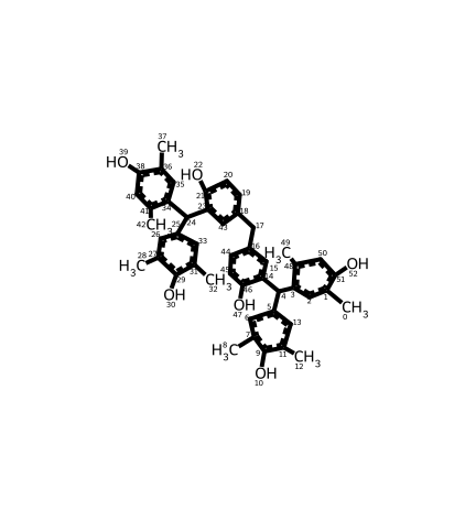 Cc1cc(C(c2cc(C)c(O)c(C)c2)c2cc(Cc3ccc(O)c(C(c4cc(C)c(O)c(C)c4)c4cc(C)c(O)cc4C)c3)ccc2O)c(C)cc1O